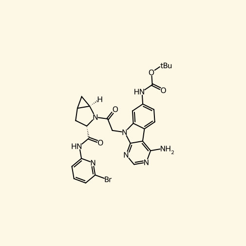 CC(C)(C)OC(=O)Nc1ccc2c3c(N)ncnc3n(CC(=O)N3[C@@H]4CC4C[C@H]3C(=O)Nc3cccc(Br)n3)c2c1